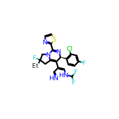 CCC1(F)CC2=C(/C(C=N)=C/NC(F)F)[C@H](c3ccc(F)cc3Cl)N=C(c3nccs3)N2C1